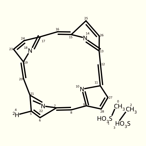 CS(=O)(=O)O.CS(=O)(=O)O.[2H]C1=CC2=CC3=NC(=CC4=NC(=CC5=NC(=CC1=N2)C=C5)C=C4)C=C3